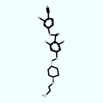 CCCO[C@H]1CC[C@H](COc2cc(F)c(C(=O)Oc3ccc(C#N)c(F)c3)c(F)c2)CC1